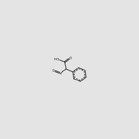 O=NC(C(=O)O)c1ccccc1